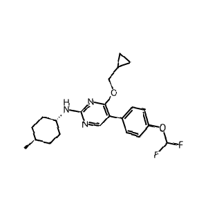 C[C@H]1CC[C@H](Nc2ncc(-c3ccc(OC(F)F)cc3)c(OCC3CC3)n2)CC1